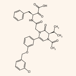 CC(=O)N1C=C(c2cccc(OCc3cccc(Cl)c3)c2)N(CC(=O)N[C@@H](Cc2ccccc2)C(=O)C(=O)O)C(=O)[C@H]1C(C)C